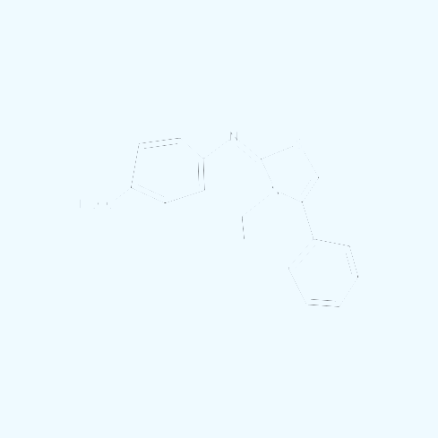 O=C(O)c1ccc(N=c2scc(-c3ccccc3)n2CC(F)(F)F)cc1